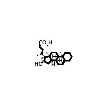 C[C@H](CCC(=O)O)[C@H]1[C@@H](O)C[C@H]2[C@@H]3CC=C4CCCC[C@]4(C)[C@H]3CC[C@]12C